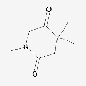 CN1CC(=O)C(C)(C)CC1=O